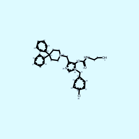 O=C(NCCO)Oc1c(CN2CCC(c3ccccc3)(c3ccccc3)CC2)ncn1Cc1ccc(Cl)cc1